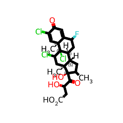 CC1C[C@H]2[C@@H]3CC(F)C4=CC(=O)C(Cl)=C[C@]4(C)[C@@]3(Cl)C(Cl)C[C@]2(C)[C@@]1(O)C(=O)C(O)CC(=O)O